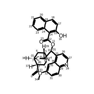 C=C[C@H]1CN2CC[C@H]1C[C@@H]2[C@@H](OC(=O)c1c(O)ccc2ccccc12)c1ccnc2ccc(OC)cc12